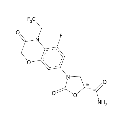 NC(=O)[C@H]1CN(c2cc(F)c3c(c2)OCC(=O)N3CC(F)(F)F)C(=O)O1